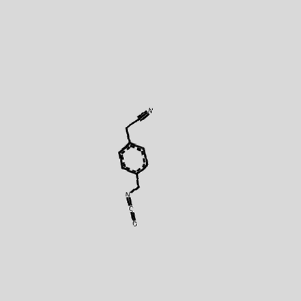 N#CCc1ccc(CN=C=O)cc1